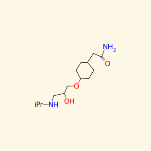 CC(C)NCC(O)COC1CCC(CC(N)=O)CC1